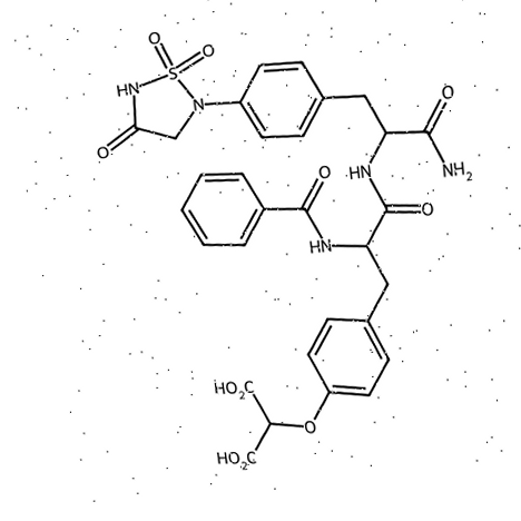 NC(=O)C(Cc1ccc(N2CC(=O)NS2(=O)=O)cc1)NC(=O)C(Cc1ccc(OC(C(=O)O)C(=O)O)cc1)NC(=O)c1ccccc1